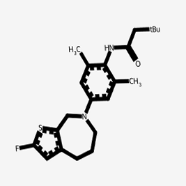 Cc1cc(N2CCCc3cc(F)sc3C2)cc(C)c1NC(=O)CC(C)(C)C